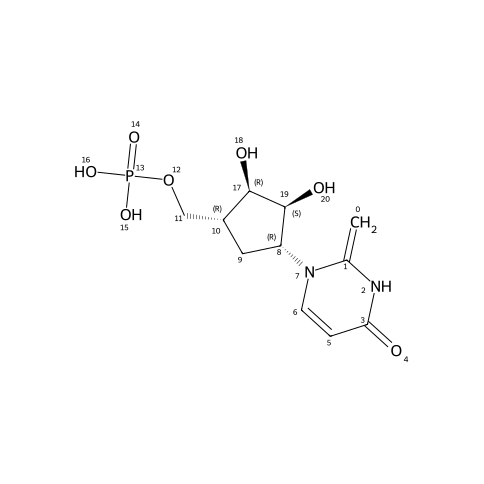 C=C1NC(=O)C=CN1[C@@H]1C[C@H](COP(=O)(O)O)[C@@H](O)[C@H]1O